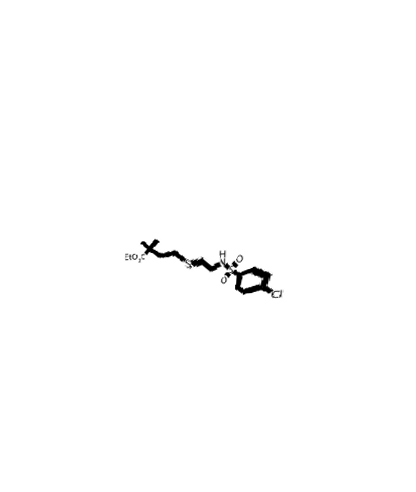 CCOC(=O)C(C)(C)CCSCCNS(=O)(=O)c1ccc(Cl)cc1